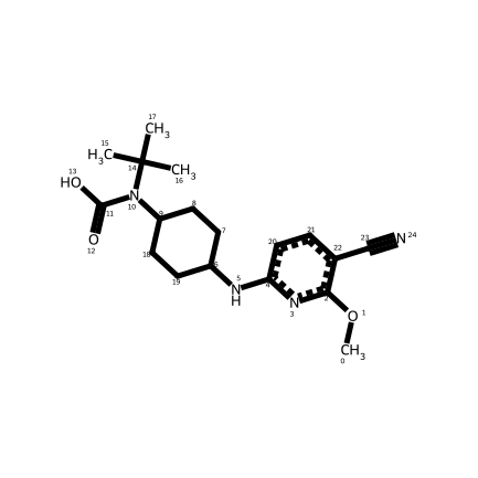 COc1nc(NC2CCC(N(C(=O)O)C(C)(C)C)CC2)ccc1C#N